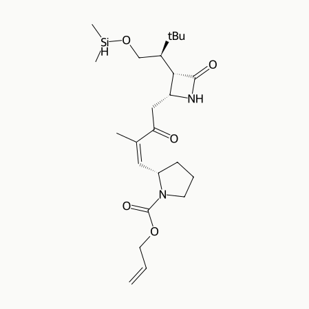 C=CCOC(=O)N1CCC[C@H]1C=C(C)C(=O)C[C@H]1NC(=O)[C@H]1[C@@H](CO[SiH](C)C)C(C)(C)C